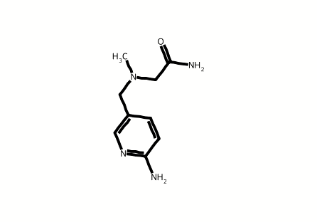 CN(CC(N)=O)Cc1ccc(N)nc1